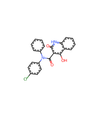 O=C(c1c(O)c2ccccc2[nH]c1=O)N(c1ccccc1)c1ccc(Cl)cc1